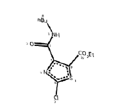 CCCCNC(=O)c1nc(Cl)sc1C(=O)OCC